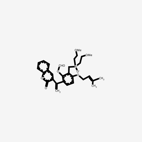 C=C(c1ccc(OCC=C(C)C)c(C[N+]([O-])(CCOC)CCOC)c1OC=O)c1cc2ccccc2oc1=O